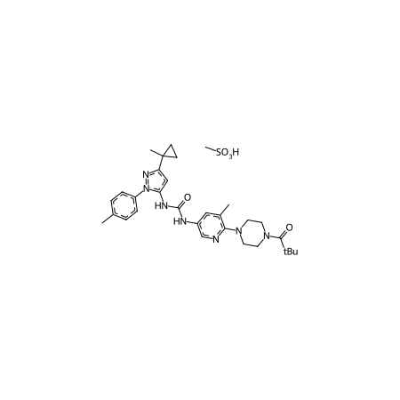 CS(=O)(=O)O.Cc1ccc(-n2nc(C3(C)CC3)cc2NC(=O)Nc2cnc(N3CCN(C(=O)C(C)(C)C)CC3)c(C)c2)cc1